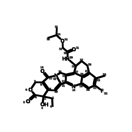 CCC1(O)C(=O)OCc2c1cc1n(c2=O)Cc2c-1nc1cc(F)c(C)c3c1c2C(NC(=O)COC(C)C)CC3